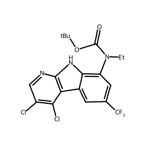 CCN(C(=O)OC(C)(C)C)c1cc(C(F)(F)F)cc2c1[nH]c1ncc(Cl)c(Cl)c12